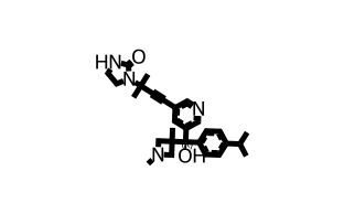 CC(C)c1ccc([C@](O)(c2cncc(C#CC(C)(C)N3CCNC3=O)c2)C2(C)CN(C)C2)cc1